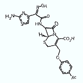 CC(=O)c1ccc(OCC2=C(C(=O)O)N3C(=O)C(NC(=O)/C(=N\O)c4csc(N)n4)[C@H]3SC2)cc1